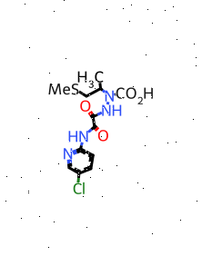 CSCC(C)N(NC(=O)C(=O)Nc1ccc(Cl)cn1)C(=O)O